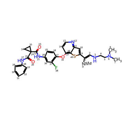 CN/C(=C\NCCN(C)C)c1cc2nccc(Oc3ccc(NC(=O)C4(C(=O)Nc5ccccc5)CC4)cc3F)c2s1